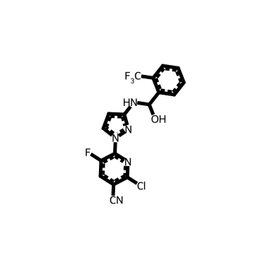 N#Cc1cc(F)c(-n2ccc(NC(O)c3ccccc3C(F)(F)F)n2)nc1Cl